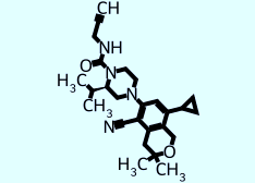 C#CCNC(=O)N1CCN(c2cc(C3CC3)c3c(c2C#N)CC(C)(C)OC3)C[C@H]1C(C)C